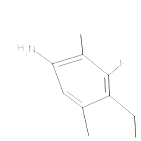 CCc1c(C)cc(N)c(F)c1F